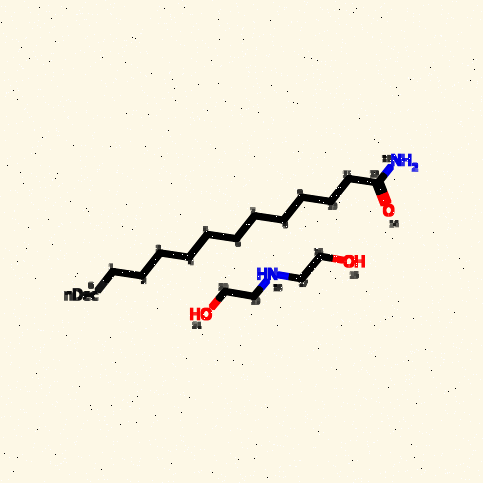 CCCCCCCCCCCCCCCCCCCCCC(N)=O.OCCNCCO